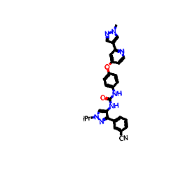 CC(C)n1cc(NC(=O)Nc2ccc(Oc3ccnc(-c4cnn(C)c4)c3)cc2)c(-c2cccc(C#N)c2)n1